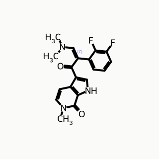 CN(C)/C=C(\C(=O)c1c[nH]c2c(=O)n(C)ccc12)c1cccc(F)c1F